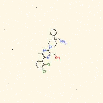 Cc1nc(N2CCC(CN)(C3CCCC3)CC2)c(CO)nc1-c1cccc(Cl)c1Cl